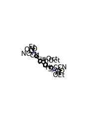 CCCCCCCCC1(CCCCCCCC)c2cc(-c3ccc(/C=C4/C(=O)N(CC)C(=O)C(C#N)=C4C)s3)ccc2-c2ccc(-c3ccc(/C=C4/C(=O)N(CC)C(=O)C(C#N)=C4C)s3)cc21